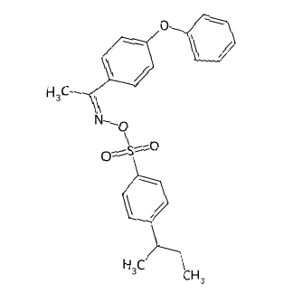 CCC(C)c1ccc(S(=O)(=O)ON=C(C)c2ccc(Oc3ccccc3)cc2)cc1